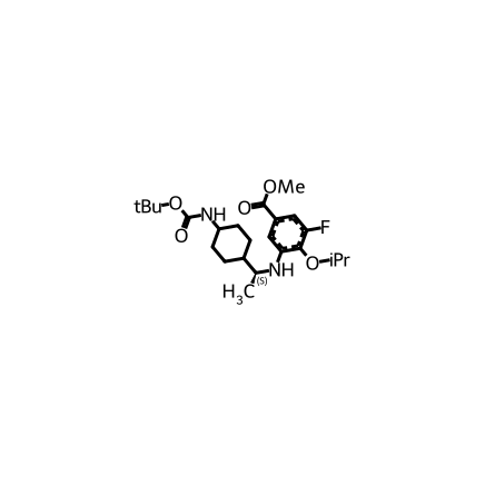 COC(=O)c1cc(F)c(OC(C)C)c(N[C@@H](C)C2CCC(NC(=O)OC(C)(C)C)CC2)c1